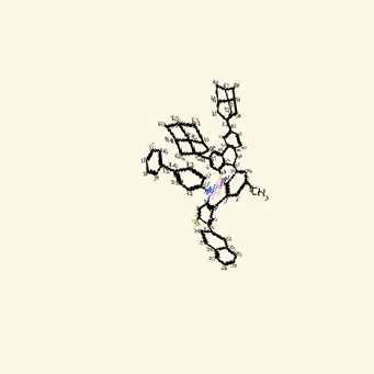 Cc1cc(-c2cc3c(cc2Nc2ccc(-c4ccccc4)cc2)sc2cc4ccccc4cc23)c2c(c1)C1Cc3ccc(C45CC6CC7CC(C4)C76C5)cc3-c3cc(C45CC6CC7CC(C4)C765)cc(c31)B2